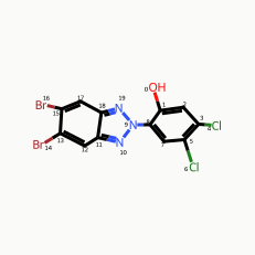 Oc1cc(Cl)c(Cl)cc1-n1nc2cc(Br)c(Br)cc2n1